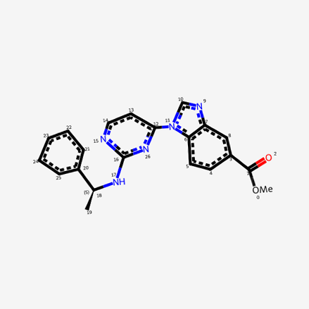 COC(=O)c1ccc2c(c1)ncn2-c1ccnc(N[C@@H](C)c2ccccc2)n1